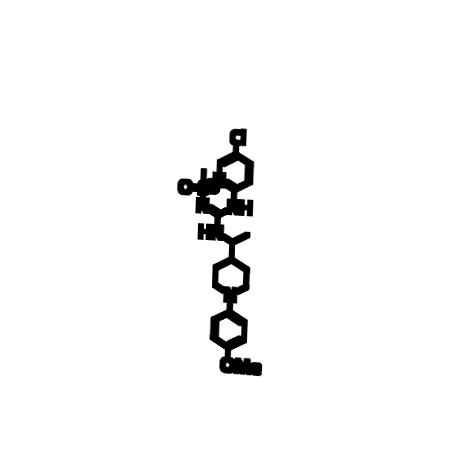 COc1ccc(N2CCC(C(C)N/C(=N/S(C)(=O)=O)Nc3ccc(Cl)cn3)CC2)cc1